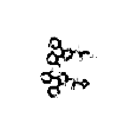 O=C(CC(F)(F)F)Nc1cnc(-c2ccncc2F)c(-c2cccnc2)n1.O=C(Nc1cnc(-c2ccncc2F)c(-c2cccnc2)n1)C1CCC1